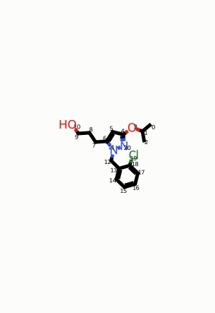 CC(C)Oc1cc(CCCO)n(Cc2ccccc2Cl)n1